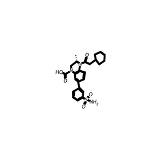 C[C@H]1CN(C(=O)O)c2cc(-c3cccc(S(N)(=O)=O)c3)ccc2N1C(=O)CC1CCCCC1